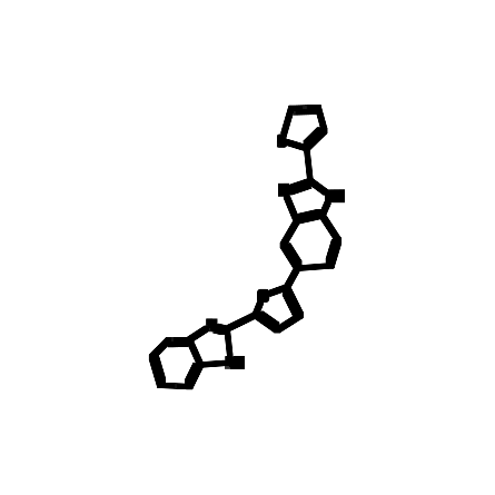 c1csc(-c2nc3cc(-c4ccc(-c5nc6ccccc6[nH]5)o4)ccc3[nH]2)c1